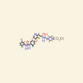 CCOC(=O)N1CCN(CCNC(O)c2cc3nccc(Oc4ccc(NC(=O)Nc5cc(C)ccc5F)c(F)c4)c3s2)CC1